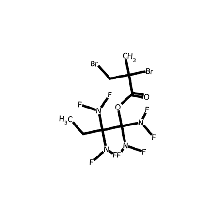 CCC(N(F)F)(N(F)F)C(OC(=O)C(C)(Br)CBr)(N(F)F)N(F)F